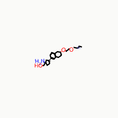 C/C=C/COCCOC1CCc2cc([C@H]3CC[C@](N)(CO)C3)ccc2C1